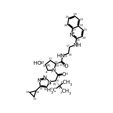 CC(C)(C)[C@@H](C(=O)N1C[C@H](O)C[C@H]1C(=O)NCCNc1ccc2ccccc2n1)n1cc(C2CC2)nn1